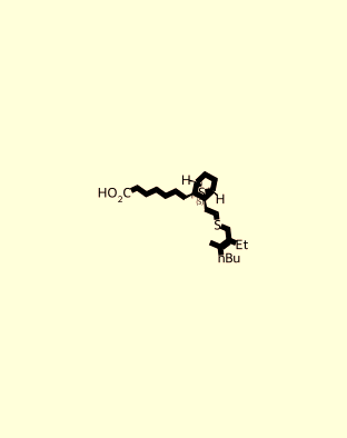 CCCCC(C)=C(CC)CSCC[C@H]1[C@@H](CCCCCCC(=O)O)[C@H]2CC[C@@H]1S2